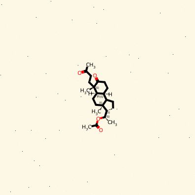 CC(=O)CC[C@]1(C)C(=O)CC[C@H]2C3CC[C@H]([C@H](C)OC(C)=O)[C@@]3(C)CC[C@H]21